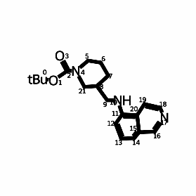 CC(C)(C)OC(=O)N1CCCC(CNc2cccc3cnccc23)C1